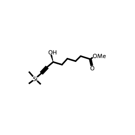 COC(=O)CCCC[C@H](O)C#C[Si](C)(C)C